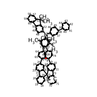 CC(C)CC(c1ccc(-c2ccc3c(c2)C2(c4ccccc4-c4ccc(-c5ccc(-c6ccc(N(c7ccc(-c8ccccc8)cc7)c7ccc8c(c7)C(C)(C)c7ccccc7-8)cc6)cc5)cc42)c2ccccc2-3)cc1)C(C)C